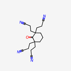 N#CCCC1(CCC#N)CCCC(CCC#N)(CCC#N)C1=O